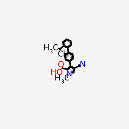 CC(C)c1ccccc1-c1ccc(-c2c(C#N)cn(C)c2C(=O)O)cc1